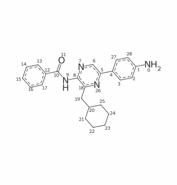 Nc1ccc(-c2cnc(NC(=O)c3ccccc3)c(CC3CCCCC3)n2)cc1